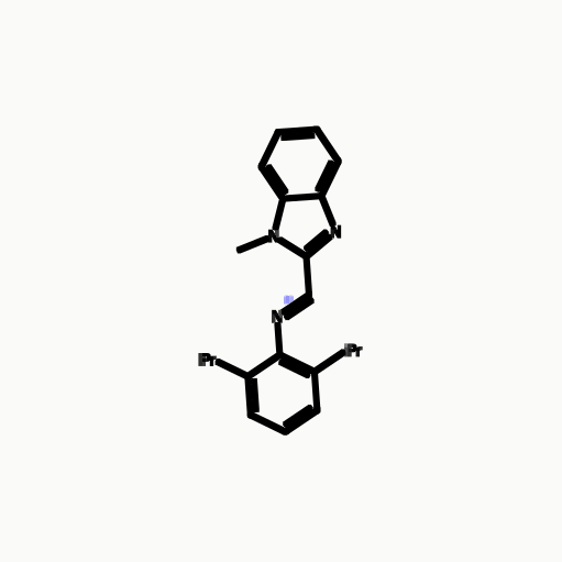 CC(C)c1cccc(C(C)C)c1/N=C/c1nc2ccccc2n1C